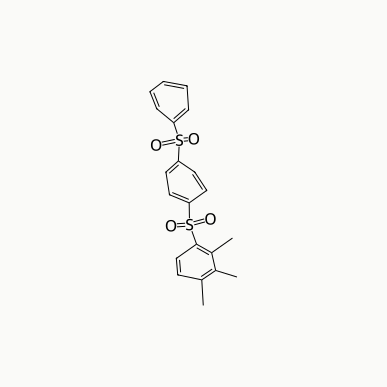 Cc1ccc(S(=O)(=O)c2ccc(S(=O)(=O)c3ccccc3)cc2)c(C)c1C